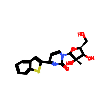 C[C@@]1(O)[C@H](O)[C@@H](CO)O[C@H]1n1ccc(-c2cc3ccccc3s2)nc1=O